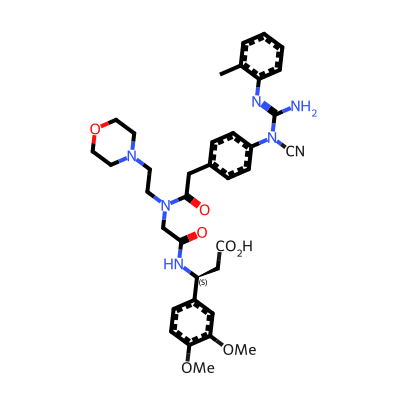 COc1ccc([C@H](CC(=O)O)NC(=O)CN(CCN2CCOCC2)C(=O)Cc2ccc(N(C#N)C(N)=Nc3ccccc3C)cc2)cc1OC